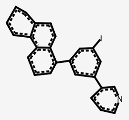 Ic1cc(-c2cccnc2)cc(-c2cccc3c2ccc2ccccc23)c1